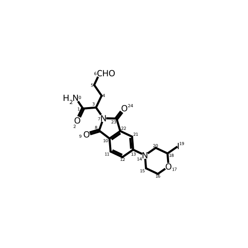 NC(=O)C(CCC=O)N1C(=O)c2ccc(N3CCOC(I)C3)cc2C1=O